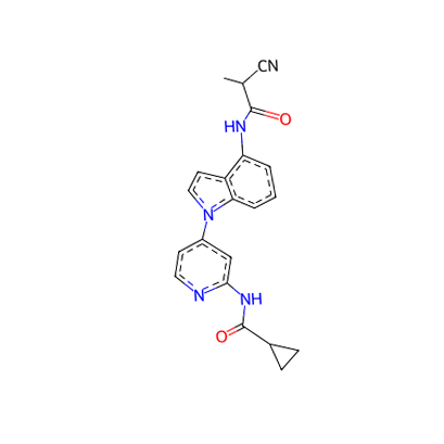 CC(C#N)C(=O)Nc1cccc2c1ccn2-c1ccnc(NC(=O)C2CC2)c1